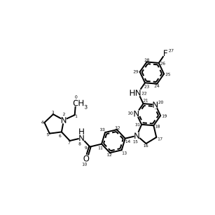 CCN1CCCC1CNC(=O)c1ccc(N2CCc3cnc(Nc4ccc(F)cc4)nc32)cc1